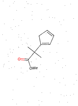 COC(=O)C(C)(C)C1=CC=CC1